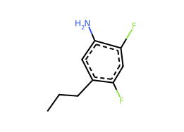 CCCc1cc(N)c(F)cc1F